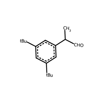 CC(C=O)c1cc(C(C)(C)C)cc(C(C)(C)C)c1